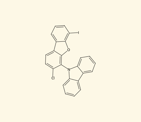 Clc1ccc2c(oc3c(I)cccc32)c1-n1c2ccccc2c2ccccc21